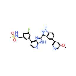 COc1cncc(-c2ccc3[nH]nc(-c4nc5c(-c6cc(F)cc(CNS(C)(=O)=O)c6)ccnc5[nH]4)c3c2)c1